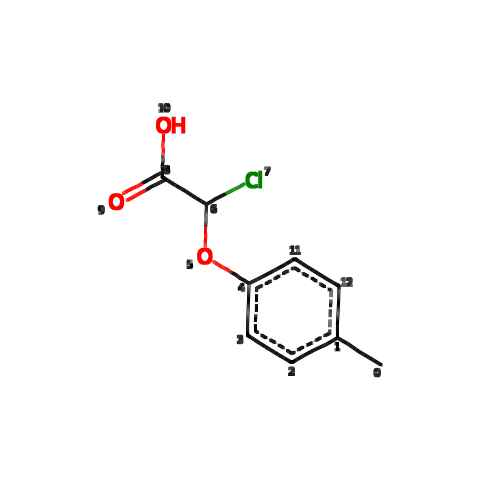 Cc1ccc(OC(Cl)C(=O)O)cc1